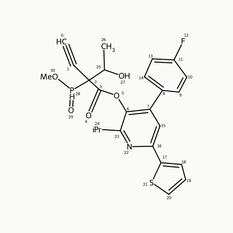 C#CC(C(=O)Oc1c(-c2ccc(F)cc2)cc(-c2cccs2)nc1C(C)C)(C(C)O)[PH](=O)OC